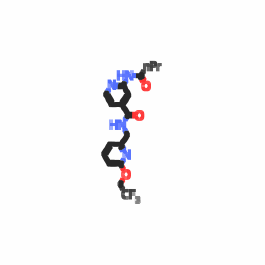 CCCC(=O)Nc1cc(C(=O)NCc2cccc(OCC(F)(F)F)n2)ccn1